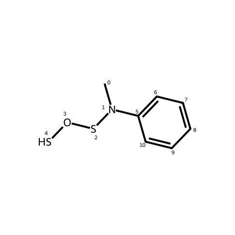 CN(SOS)c1ccccc1